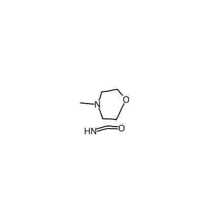 CN1CCOCC1.N=C=O